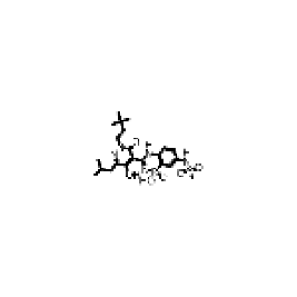 CC(C)Cc1nn(CCC(C)(C)C)c(=O)c(C2=NP(=O)(O)c3cc(NS(C)(=O)=O)ccc3N2)c1O